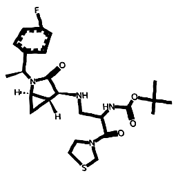 C[C@@H](c1ccc(F)cc1)N1C(=O)[C@@H](NCC(NC(=O)OC(C)(C)C)C(=O)N2CCSC2)[C@@H]2C[C@H]21